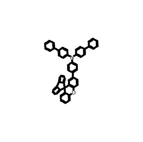 c1ccc(-c2ccc(N(c3ccc(-c4ccccc4)cc3)c3ccc(-c4ccc5c(c4)C4(c6ccccc6O5)c5ccccc5-c5ccccc54)cc3)cc2)cc1